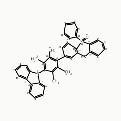 Cc1c(C)c(-n2c3ccccc3c3ccccc32)c(C)c(C)c1-c1ccc2c(c1)Sc1ccccc1P2(=O)c1ccccc1